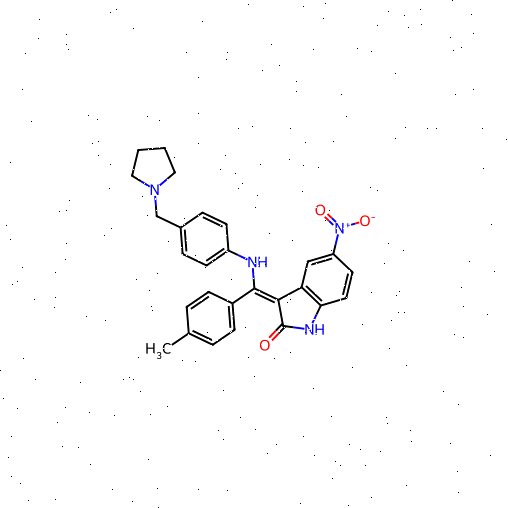 Cc1ccc(C(Nc2ccc(CN3CCCC3)cc2)=C2C(=O)Nc3ccc([N+](=O)[O-])cc32)cc1